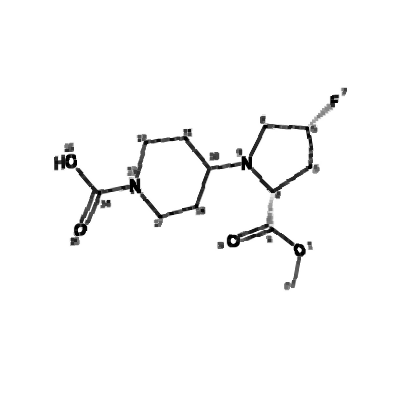 COC(=O)[C@H]1C[C@@H](F)CN1C1CCN(C(=O)O)CC1